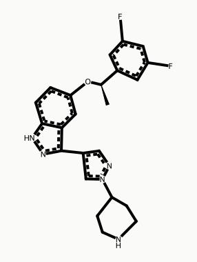 C[C@@H](Oc1ccc2[nH]nc(-c3cnn(C4CCNCC4)c3)c2c1)c1cc(F)cc(F)c1